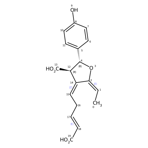 C/C=C1/O[C@@H](c2ccc(O)cc2)[C@H](C(=O)O)/C1=C/C/C=C/C(=O)O